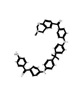 CN1COc2ccc(C(=O)c3ccc(Oc4ccc(C(C)(C)c5ccc(Oc6ccc(C(=O)c7ccc(O)cc7)cc6)cc5)cc4)cc3)cc2C1